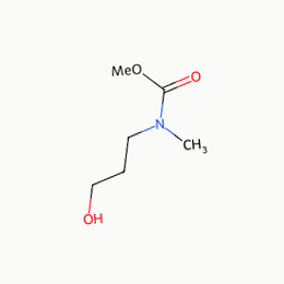 COC(=O)N(C)CCCO